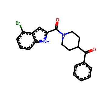 O=C(c1ccccc1)C1CCN(C(=O)c2cc3c(Br)cccc3[nH]2)CC1